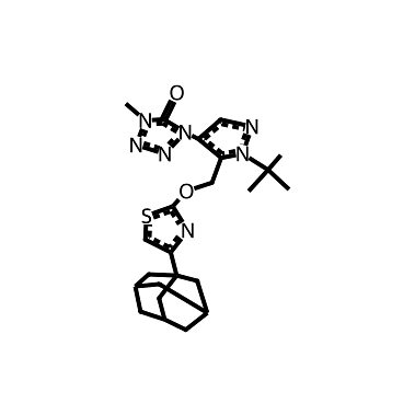 Cn1nnn(-c2cnn(C(C)(C)C)c2COc2nc(C34CC5CC(CC(C5)C3)C4)cs2)c1=O